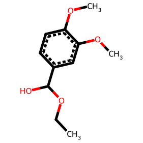 CCOC(O)c1ccc(OC)c(OC)c1